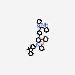 CC1(C)c2ccccc2-c2cc(N(c3ccccc3)c3ccc(-c4ccc(C5=C(c6ccccc6)NC6C=CC=CC6=N5)cc4)c4c5c(oc34)=CCCC=5)ccc21